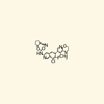 Cc1c(-c2cc3cc(NC(=O)O[C@@H]4CCC[C@H]4C#N)ncc3c(Cl)c2F)cnc2c1NCCO2